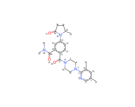 Cc1cnc(N2CCN(C(=O)c3ccc(N4C(=O)CCC4C)cc3C(=O)N(C)C)CC2)c(C)c1